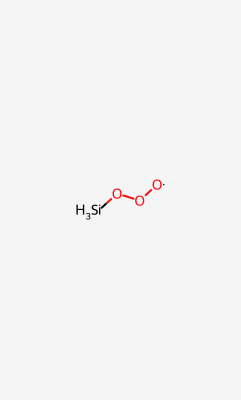 [O]OO[SiH3]